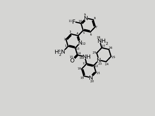 Nc1ccc(-c2cccnc2F)nc1C(=O)Nc1ccncc1N1CCCC(N)C1